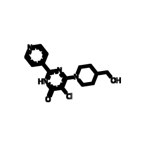 O=c1[nH]c(-c2ccncc2)nc(N2CCC(CO)CC2)c1Cl